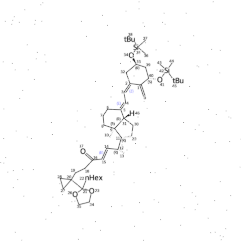 C=C1/C(=C\C=C2/CCC[C@]3(C)[C@@H]([C@H](C)/C=C/C(=O)CCC4(C5(CCCCCC)OCCO5)CC4)CC[C@@H]23)C[C@@H](O[Si](C)(C)C(C)(C)C)C[C@@H]1O[Si](C)(C)C(C)(C)C